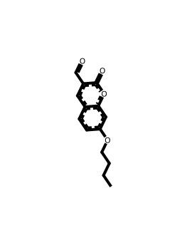 CCCCOc1ccc2cc(C=O)c(=O)oc2c1